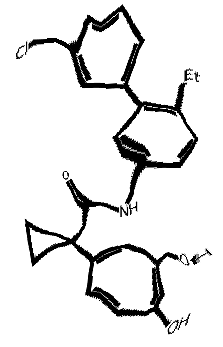 CCc1ccc(NC(=O)C2(c3ccc(O)c(O)c3)CC2)cc1-c1cccc(Cl)c1